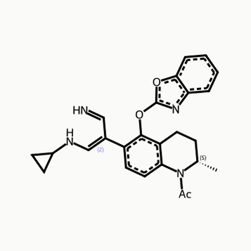 CC(=O)N1c2ccc(/C(C=N)=C/NC3CC3)c(Oc3nc4ccccc4o3)c2CC[C@@H]1C